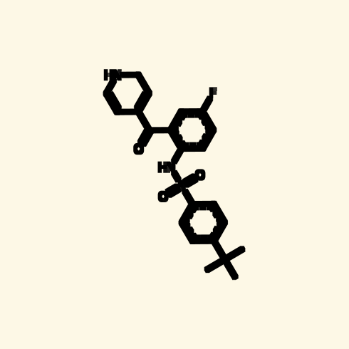 CC(C)(C)c1ccc(S(=O)(=O)Nc2ccc(F)cc2C(=O)C2=CCNC=C2)cc1